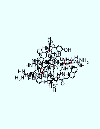 CC(=O)N[C@@H](CCCNC(=N)N)C(=O)N[C@@H](CCCNC(=N)N)C(=O)N[C@@H](Cc1ccc2ccccc2c1)C(=O)N[C@@H](CS)C(=O)N[C@@H](Cc1ccc(O)cc1)C(=O)N[C@@H](CCCNC(=N)N)C(=O)N[C@@H](CCCCN)C(=O)N[C@H](CCCNC(N)=O)C(=O)N1CCC[C@H]1C(=O)N[C@@H](Cc1ccc(O)cc1)C(=O)N[C@@H](CCCNC(N)=O)C(=O)N[C@@H](CCCNC(N)=O)C(=O)N[C@@H](CS)C(=O)N[C@@H](CCCNC(=N)N)C(N)=O